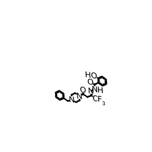 O=C(NN=C(CC(=O)N1CCN(Cc2ccccc2)CC1)C(F)(F)F)c1ccccc1O